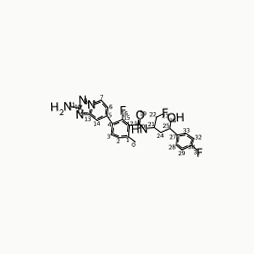 Cc1ccc(-c2ccn3nc(N)nc3c2)c(F)c1C(=O)NC(CF)CC(O)c1ccc(F)cc1